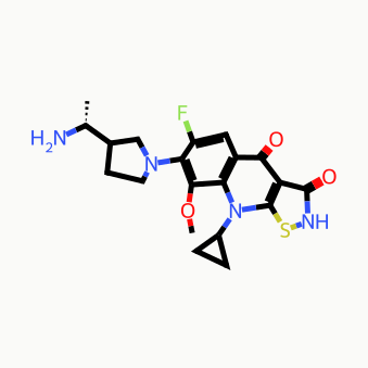 COc1c(N2CCC([C@@H](C)N)C2)c(F)cc2c(=O)c3c(=O)[nH]sc3n(C3CC3)c12